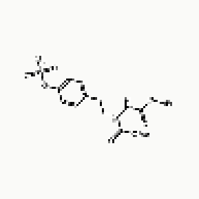 COC(=O)[C@H](CCc1ccc(OS(=O)(=O)C(F)(F)F)cc1)NC(=O)OC(C)(C)C